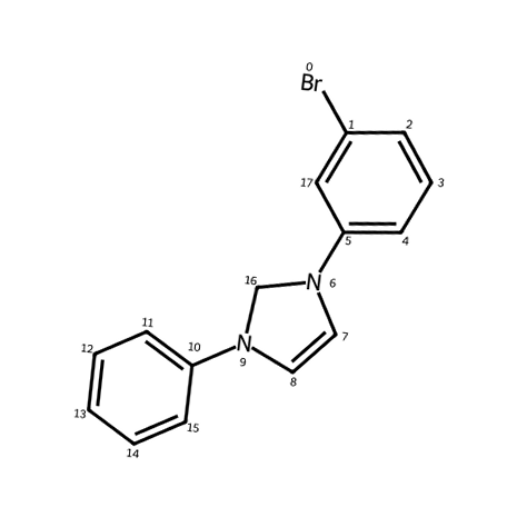 Brc1cccc(N2C=CN(c3ccccc3)C2)c1